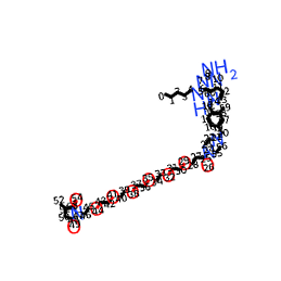 CCCCCNc1nc(N)nc2ccn(Cc3ccc(CN4CCN(C(=O)CCOCCOCCOCCOCCOCCOCCN5C(=O)CC(C)C5=O)CC4)cc3C)c12